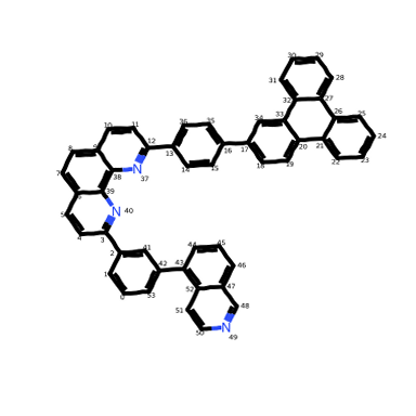 c1cc(-c2ccc3ccc4ccc(-c5ccc(-c6ccc7c8ccccc8c8ccccc8c7c6)cc5)nc4c3n2)cc(-c2cccc3cnccc23)c1